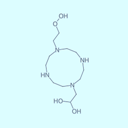 OOCCN1CCNCCN(CC(O)O)CCNCC1